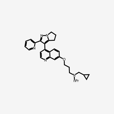 CCCN(CCCOc1ccc2c(-c3c(-c4ccccn4)nn4c3CCC4)ccnc2c1)CC1CC1